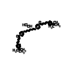 CC(C)(C)c1ccc(C=CC=CC(=O)N2CCN(CCCCCCCCN3CCN(C(=O)C=CC=Cc4ccc(C(C)(C)C)cc4)CC3)CC2)cc1.Cl.Cl